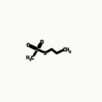 CCCSS(C)(=O)=O